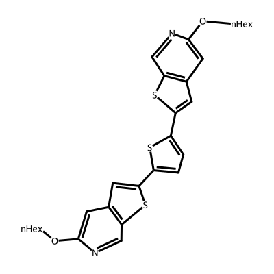 CCCCCCOc1cc2cc(-c3ccc(-c4cc5cc(OCCCCCC)ncc5s4)s3)sc2cn1